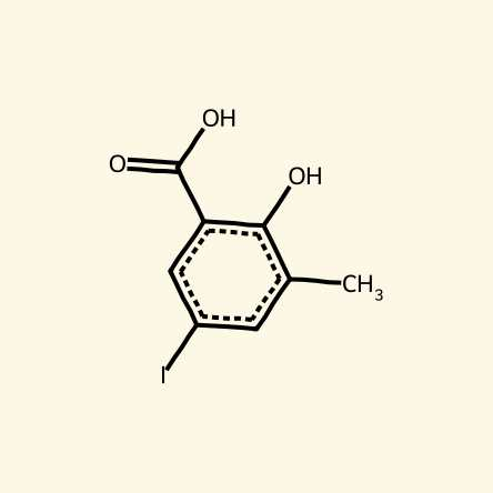 Cc1cc(I)cc(C(=O)O)c1O